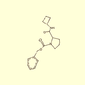 O=C(NC1CCC1)C1CCCN1C(=O)OCc1ccccc1